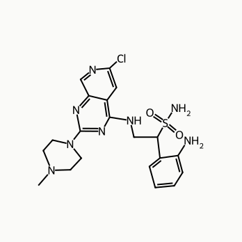 CN1CCN(c2nc(NCC(c3ccccc3N)S(N)(=O)=O)c3cc(Cl)ncc3n2)CC1